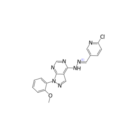 COc1ccccc1-n1ncc2c(N/N=C/c3ccc(Cl)nc3)ncnc21